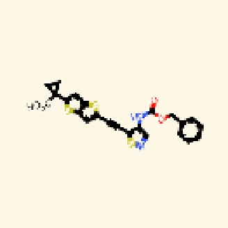 O=C(Nc1cnsc1C#Cc1cc2sc(C3(C(=O)O)CC3)cc2s1)OCc1ccccc1